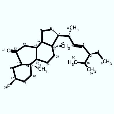 CC[C@H](/C=C/[C@@H](C)[C@H]1CCC2C3CC(=O)C4C[C@H](F)CC[C@]4(C)C3CC[C@@]21C)C(C)C